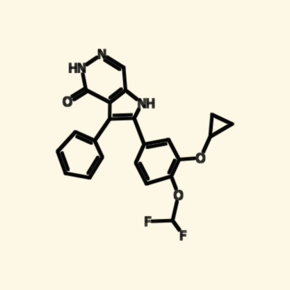 O=c1[nH]ncc2[nH]c(-c3ccc(OC(F)F)c(OC4CC4)c3)c(-c3ccccc3)c12